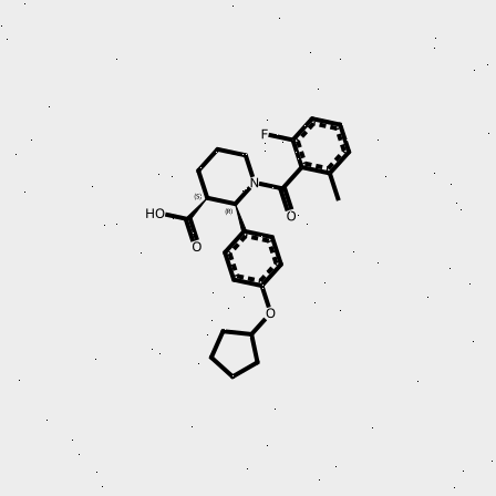 Cc1cccc(F)c1C(=O)N1CCC[C@H](C(=O)O)[C@@H]1c1ccc(OC2CCCC2)cc1